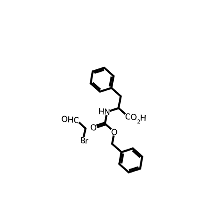 O=C(NC(Cc1ccccc1)C(=O)O)OCc1ccccc1.O=CCBr